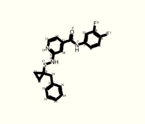 O=C(Nc1ccc(F)c(F)c1)c1ccnc(NSC2(Cc3ccccc3)CC2)c1